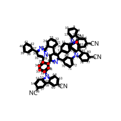 N#Cc1ccc2c(c1)c1ccccc1n2-c1ccc(-c2c(-c3ccccc3-c3nc(-c4ccccc4)cc(-c4ccccc4)n3)cc(-c3cccc(-n4c5ccc(C#N)cc5c5cc(C#N)ccc54)c3)nc2-c2cccc(-n3c4ccc(C#N)cc4c4cc(C#N)ccc43)c2)cc1